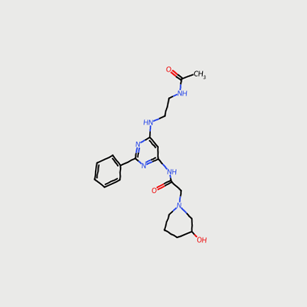 CC(=O)NCCNc1cc(NC(=O)CN2CCCC(O)C2)nc(-c2ccccc2)n1